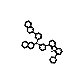 c1ccc(-c2cccc3c2oc2c(-c4cccc(N(c5cccc(-c6ccc7ccccc7c6)c5)c5ccc6ccccc6c5)c4)cccc23)cc1